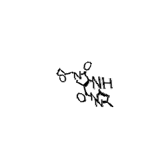 Cc1cc2[nH]c3c(c(=O)n2n1)CN(CC1CCO1)C3=O